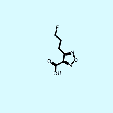 O=C(O)c1nonc1CCCF